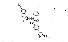 Cn1cc(-c2ccc(NC(=O)[C@@H](NCC(c3ccc(C#N)cc3)C(F)(F)F)c3ccccc3)nc2)cn1